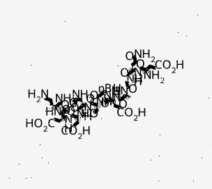 CCCC[C@H](NC(=O)[C@H](CCC(=O)O)NC(=O)[C@H](C)NC(=O)CNC(=O)[C@H](CCC(N)=O)NC(=O)[C@@H](N)CCC(=O)O)C(=O)N[C@@H](CO)C(=O)N[C@@H](CC(N)=O)C(=O)N(C)[C@@H](CCC(=O)O)C(=O)N[C@@H](CCC(=O)O)C(=O)N[C@@H](CCCN)C(N)=O